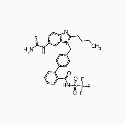 CCCCc1nc2ccc(NC(N)=S)cc2n1Cc1ccc(-c2ccccc2C(=O)NS(=O)(=O)C(F)(F)F)cc1